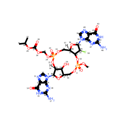 COP1(=O)OC[C@H]2O[C@@H](n3cnc4c(=O)[nH]c(N)nc43)[C@@H](OP(=O)(OCOC(=O)OC(C)C)OC[C@H]3O[C@@H](n4cnc5c(=O)[nH]c(N)nc54)[C@@H](F)C3O1)C2O